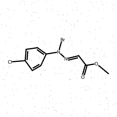 COC(=O)C=NN(Br)c1ccc(Cl)cc1